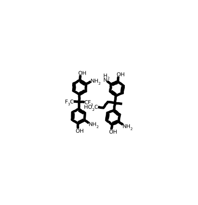 CC(CCC(=O)O)(c1ccc(O)c(N)c1)c1ccc(O)c(N)c1.Nc1cc(C(c2ccc(O)c(N)c2)(C(F)(F)F)C(F)(F)F)ccc1O